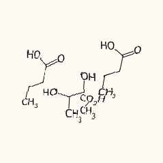 CC(=O)O.CC(O)CO.CCCC(=O)O.CCCC(=O)O